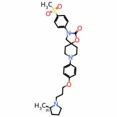 C[C@@H]1CCCN1CCCOc1ccc(N2CCC3(CC2)CN(c2ccc(S(C)(=O)=O)cc2)C(=O)O3)cc1